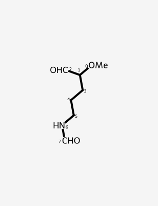 COC(C=O)CCCNC=O